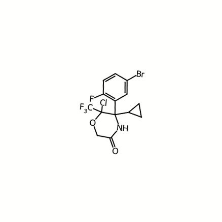 O=C1COC(Cl)(C(F)(F)F)C(c2cc(Br)ccc2F)(C2CC2)N1